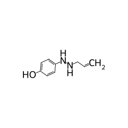 C=CCNNc1ccc(O)cc1